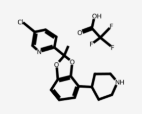 CC1(c2ccc(Cl)cn2)Oc2cccc(C3CCNCC3)c2O1.O=C(O)C(F)(F)F